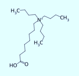 CCCC[N+](CCCC)(CCCC)CCCCCCCC(=O)O